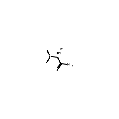 CN(C)CC(N)=O.Cl.Cl